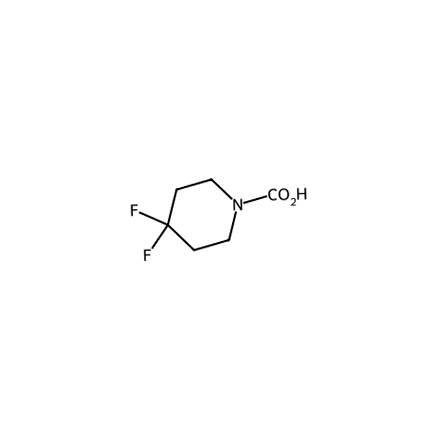 O=C(O)N1CCC(F)(F)CC1